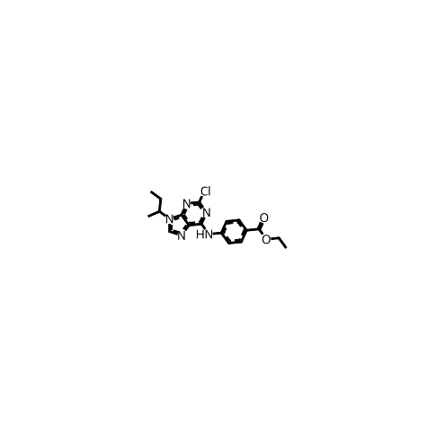 CCOC(=O)c1ccc(Nc2nc(Cl)nc3c2ncn3C(C)CC)cc1